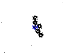 C1=CCCC(n2c(-c3ccc(C4=CCCC=C4)cc3)nnc2-c2ccc(C3=CCCC=C3)cc2)=C1